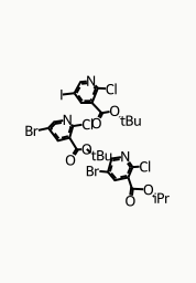 CC(C)(C)OC(=O)c1cc(Br)cnc1Cl.CC(C)(C)OC(=O)c1cc(I)cnc1Cl.CC(C)OC(=O)c1cc(Br)cnc1Cl